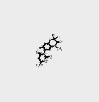 CN1C(=O)C(F)(F)Oc2cc(F)c(-n3c(=O)cc(C(F)(F)F)[nH]c3=O)cc21